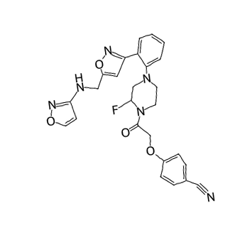 N#Cc1ccc(OCC(=O)N2CCN(c3ccccc3-c3cc(CNc4ccon4)on3)CC2F)cc1